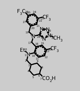 CCN(CC1CCC(C(=O)O)CC1)c1ccc(C(F)(F)F)cc1CN(Cc1cc(C(F)(F)F)cc(C(F)(F)F)c1)c1nnn(C)n1